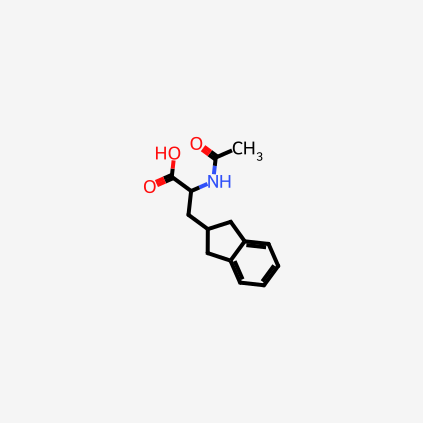 CC(=O)NC(CC1Cc2ccccc2C1)C(=O)O